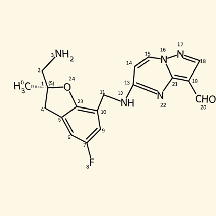 C[C@@]1(CN)Cc2cc(F)cc(CNc3ccn4ncc(C=O)c4n3)c2O1